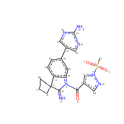 CS(=O)(=O)n1cc(C(=O)NC(=N)C2(c3ccc(-c4cnc(N)nc4)cc3)CCC2)cn1